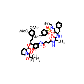 CCC(C)(C)C(=O)C(=O)N1CCCC[C@H]1C(O)O[C@H](CCc1ccc(OC)c(OC)c1)c1cccc(NC(=O)CCC(=O)NC(C)C(=O)N[C@H](Cc2ccccc2)[C@@H](O)CN(CC(C)C)S(=O)(=O)c2ccc(OC)cc2)c1